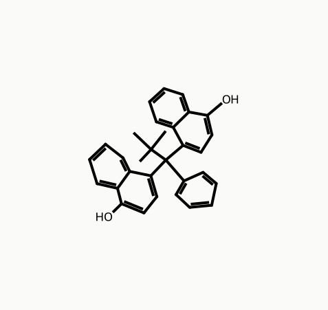 CC(C)(C)C(c1ccccc1)(c1ccc(O)c2ccccc12)c1ccc(O)c2ccccc12